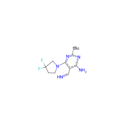 CC(C)(C)c1nc(N)c(C=N)c(N2CCC(F)(F)C2)n1